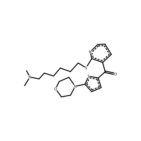 CN(C)CCCCCCSc1ncccc1C(=O)c1ccc(N2CCOCC2)s1